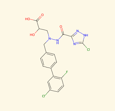 O=C(NN(Cc1ccc(-c2cc(Cl)ccc2F)cc1)CC(O)C(=O)O)c1n[nH]c(Cl)n1